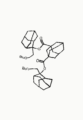 CC(C)COCC1(OC(=O)C23CC4CC(C2)CC(C(=O)OC2(COCC(C)C)C5CC6CC(C5)CC2C6)(C4)C3)C2CC3CC(C2)CC1C3